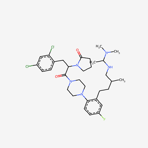 CC(CCc1cc(F)ccc1N1CCN(C(=O)C(Cc2ccc(Cl)cc2Cl)N2CCCC2=O)CC1)CNC(C)N(C)C